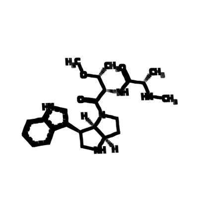 CN[C@@H](C)C(=O)N[C@H](C(=O)N1CC[C@H]2NC[C@@H](c3c[nH]c4ccccc34)[C@H]21)[C@@H](C)OC